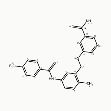 Cc1ccc(NC(=O)c2ccc(C(F)(F)F)nc2)cc1COc1cncc(C(N)=O)c1